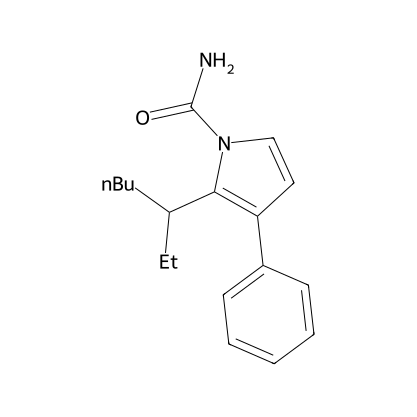 CCCCC(CC)c1c(-c2ccccc2)ccn1C(N)=O